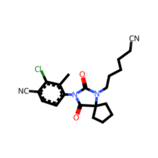 Cc1c(N2C(=O)N(CCCCCC#N)C3(CCCC3)C2=O)ccc(C#N)c1Cl